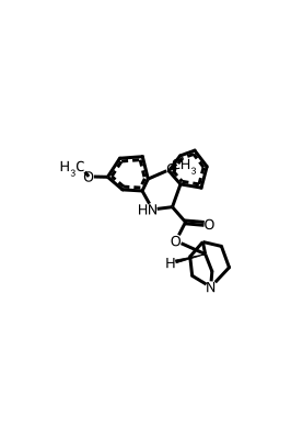 COc1ccc(OC)c(NC(C(=O)O[C@H]2CN3CCC2CC3)c2ccccc2)c1